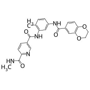 CNC(=O)c1ccc(C(=O)Nc2cc(NC(=O)c3ccc4c(c3)OCCO4)ccc2C)cn1